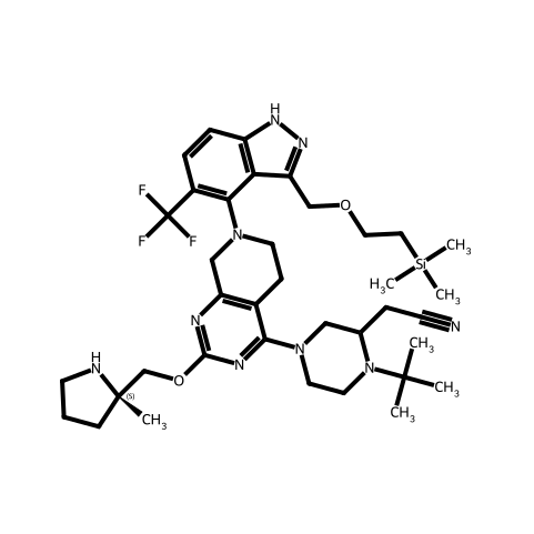 CC(C)(C)N1CCN(c2nc(OC[C@]3(C)CCCN3)nc3c2CCN(c2c(C(F)(F)F)ccc4[nH]nc(COCC[Si](C)(C)C)c24)C3)CC1CC#N